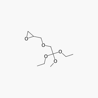 CCOC(COCC1CO1)(OC)OCC